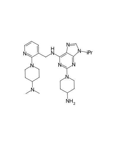 CC(C)n1cnc2c(NCc3cccnc3N3CCC(N(C)C)CC3)nc(N3CCC(N)CC3)nc21